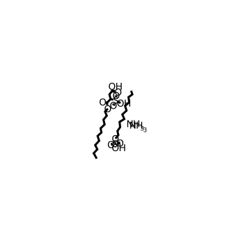 CCCCCCCCCCCCOC(=O)C(CC(=O)O)S(=O)(=O)O.CCCCCCCCCCCCOS(=O)(=O)O.N.N